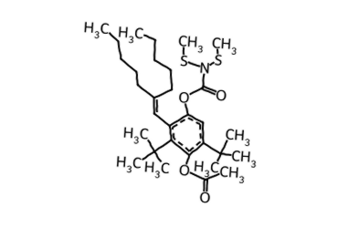 CCCCCC(=Cc1c(OC(=O)N(SC)SC)cc(C(C)(C)C)c(OC(C)=O)c1C(C)(C)C)CCCCC